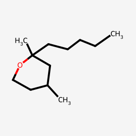 CCCCCC1(C)CC(C)CCO1